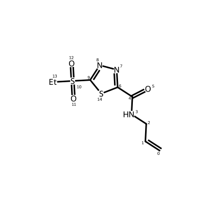 C=CCNC(=O)c1nnc(S(=O)(=O)CC)s1